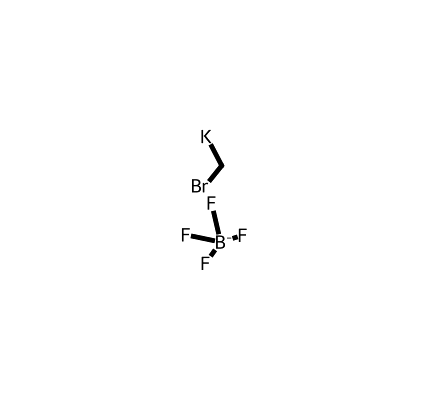 F[B-](F)(F)F.[K][CH2]Br